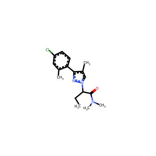 CCC(C(=O)N(C)C)n1cc(C)c(-c2ccc(Cl)cc2C)n1